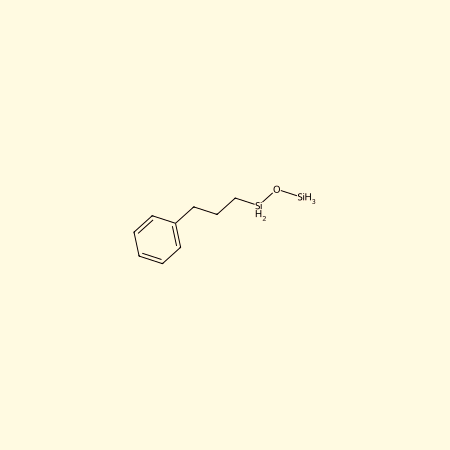 [SiH3]O[SiH2]CCCc1ccccc1